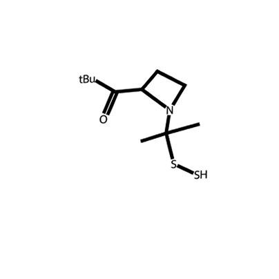 CC(C)(C)C(=O)C1CCN1C(C)(C)SS